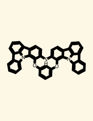 c1cc2c3c(c1)Oc1c(ccc4c5cccc6c7ccccc7n(c14)c65)[SH]3c1ccc3c4cccc5c6ccccc6n(c3c1O2)c54